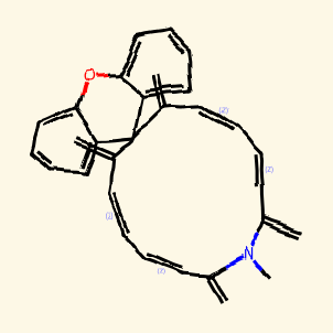 C=C1/C=C\C=C/C(=C)C2(C(=C)/C=C\C=C/C(=C)N1C)c1ccccc1Oc1ccccc12